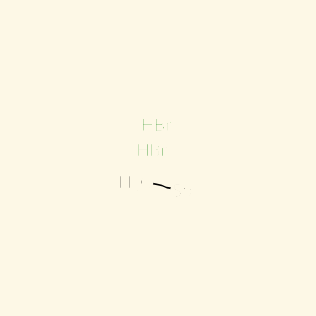 Br.Br.[CH3][Sb]